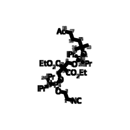 [C-]#[N+]CCOP(OCC(CO[Si](OC(C)(C)CCCC(C)=O)(C(C)C)C(C)C)(C(=O)OCC)C(=O)OCC)N(C(C)C)C(C)C